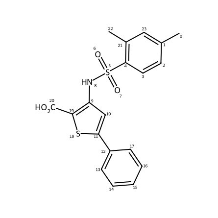 Cc1ccc(S(=O)(=O)Nc2cc(-c3ccccc3)sc2C(=O)O)c(C)c1